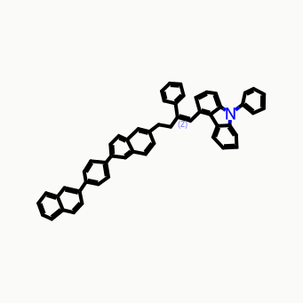 C(=C(\CCc1ccc2cc(-c3ccc(-c4ccc5ccccc5c4)cc3)ccc2c1)c1ccccc1)/c1cccc2c1c1ccccc1n2-c1ccccc1